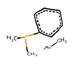 CP(C)c1ccccc1.[CH3][Au]